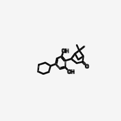 CC1(C)C2CC1C(c1c(O)cc(C3CCCCC3)cc1O)CC2=O